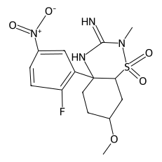 COC1CCC2(c3cc([N+](=O)[O-])ccc3F)NC(=N)N(C)S(=O)(=O)C2C1